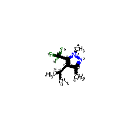 Cc1nn(C)c(C(F)(F)F)c1C(C)C